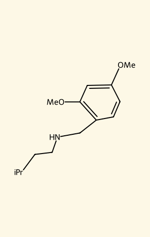 COc1ccc(CNCCC(C)C)c(OC)c1